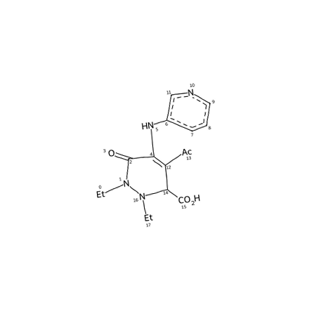 CCN1C(=O)C(Nc2cccnc2)=C(C(C)=O)C(C(=O)O)N1CC